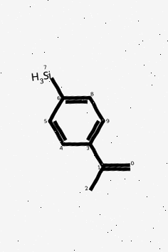 C=C(C)c1ccc([SiH3])cc1